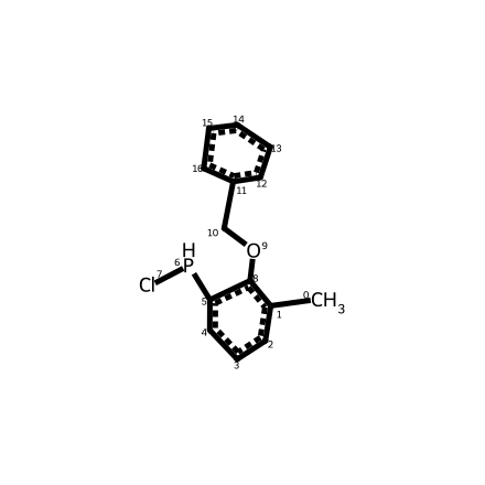 Cc1cccc(PCl)c1OCc1ccccc1